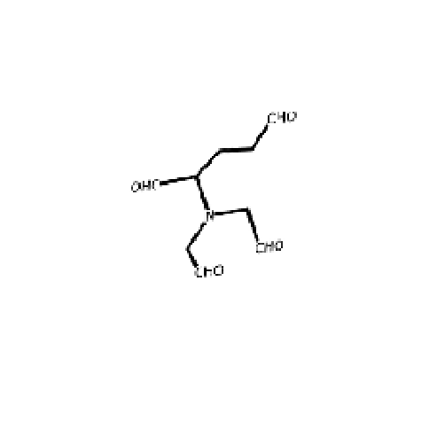 O=CCCC(C=O)N(CC=O)CC=O